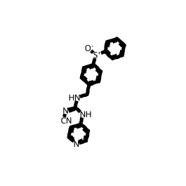 N#CN=C(NCc1ccc([S+]([O-])c2ccccc2)cc1)Nc1ccncc1